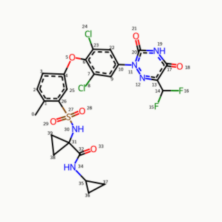 Cc1ccc(Oc2c(Cl)cc(-n3nc(C(F)F)c(=O)[nH]c3=O)cc2Cl)cc1S(=O)(=O)NC1(C(=O)NC2CC2)CC1